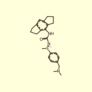 CN(C)Cc1ccc(/S(C)=N/C(=O)Nc2c3c(cc4c2CCC4)CCC3)cc1